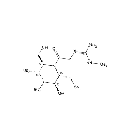 CNC(N)=NCC(=O)N1[C@H](CO)[C@@H](O)C(O)[C@H](O)[C@H]1CO